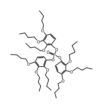 CCCCOc1ccc(OP(=O)(Oc2ccc(OCCCC)c(OCCCC)c2OCCCC)Oc2ccc(OCCCC)c(OCCCC)c2OCCCC)c(OCCCC)c1OCCCC